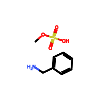 COS(=O)(=O)O.NCc1ccccc1